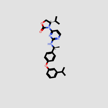 CC(C)c1cccc(Oc2ccc([C@H](C)Nc3nccc(N4C(=O)OC[C@@H]4C(C)C)n3)cc2)c1